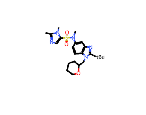 Cc1ncc(S(=O)(=O)N(C)c2ccc3c(c2)nc(C(C)(C)C)n3CC2CCCCO2)n1C